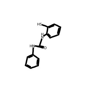 O=C(Nc1ccccc1)Nc1ccccc1S